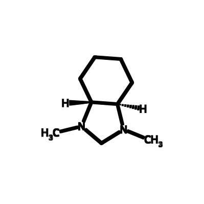 CN1CN(C)[C@@H]2CCCC[C@H]21